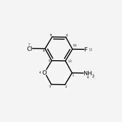 NC1CCOc2c(Cl)ccc(F)c21